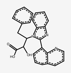 O=C(O)C(O)C(Cc1ccccc1)n1c(-c2cccc3cccnc23)nc2ccccc21